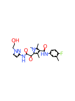 Cc1cc(NC(=O)c2c(C)c(C(=O)C(=O)Nc3ccn(CCO)n3)n(C)c2C)ccc1F